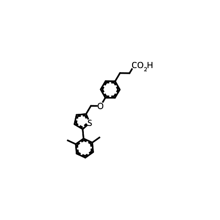 Cc1cccc(C)c1-c1ccc(COc2ccc(CCC(=O)O)cc2)s1